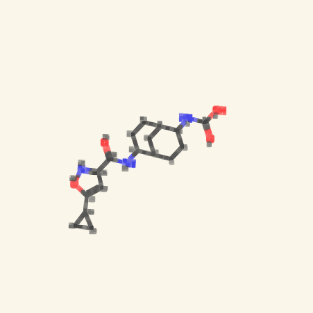 O=C(O)NC1CCC2CC1CCC2NC(=O)c1cc(C2CC2)on1